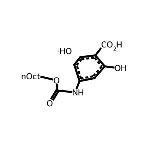 CCCCCCCCOC(=O)Nc1ccc(C(=O)O)c(O)c1.[OH]